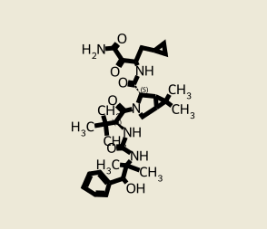 CC(C)(NC(=O)N[C@H](C(=O)N1CC2C([C@H]1C(=O)NC(CC1CC1)C(=O)C(N)=O)C2(C)C)C(C)(C)C)C(O)c1ccccc1